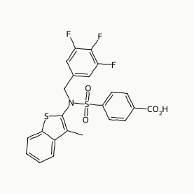 Cc1c(N(Cc2cc(F)c(F)c(F)c2)S(=O)(=O)c2ccc(C(=O)O)cc2)sc2ccccc12